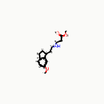 COC(=O)CCNCCC1CCc2ccc(OC)cc21